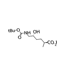 C[C@@H](CC[C@@H](O)CNC(=O)OC(C)(C)C)C(=O)O